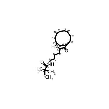 CCC(C)(C)C(=O)NCCCCC1NC2CCCCCCCC(CC2)C1=O